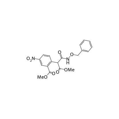 COC(=O)c1cc([N+](=O)[O-])ccc1C(C(=O)NOCc1ccccc1)C(=O)OC